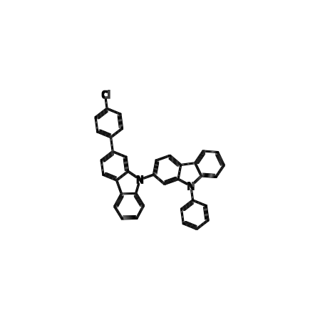 Clc1ccc(-c2ccc3c4ccccc4n(-c4ccc5c6ccccc6n(-c6ccccc6)c5c4)c3c2)cc1